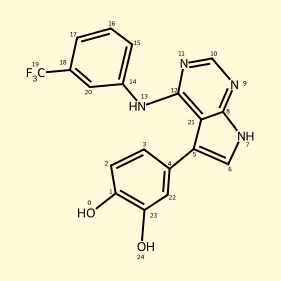 Oc1ccc(-c2c[nH]c3ncnc(Nc4cccc(C(F)(F)F)c4)c23)cc1O